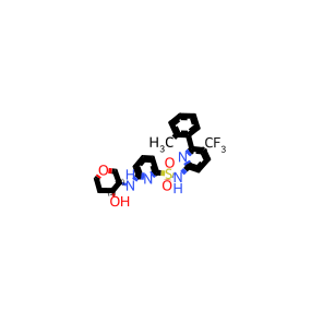 Cc1ccccc1-c1nc(NS(=O)(=O)c2cccc(N[C@@H]3COCC[C@@H]3O)n2)ccc1C(F)(F)F